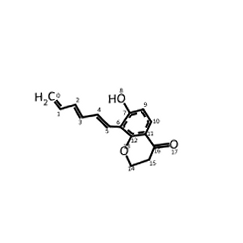 C=C/C=C/C=C/c1c(O)ccc2c1OCCC2=O